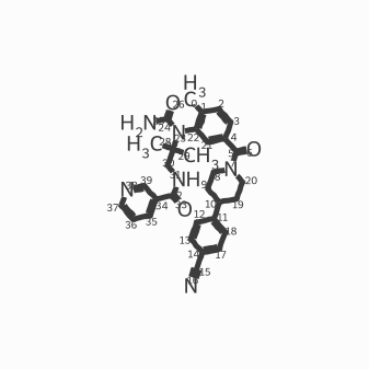 Cc1ccc(C(=O)N2CCC(c3ccc(C#N)cc3)CC2)cc1N(C(N)=O)C(C)(C)CNC(=O)c1cccnc1